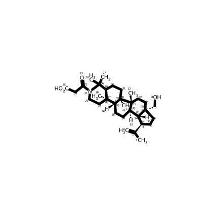 C=C(C)[C@@H]1CC[C@]2(CO)CC[C@]3(C)[C@H](CC[C@@H]4[C@@]5(C)CCN(C(=O)CC(=O)O)C(C)(C)C5CC[C@]43C)[C@@H]12